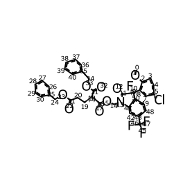 COc1ccc(Cl)cc1[C@]1(F)C(=O)N(COC(=O)[C@@H](CCC(=O)OCc2ccccc2)C(=O)OCc2ccccc2)c2cc(C(F)(F)F)ccc21